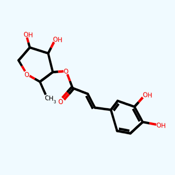 CC1OCC(O)C(O)C1OC(=O)C=Cc1ccc(O)c(O)c1